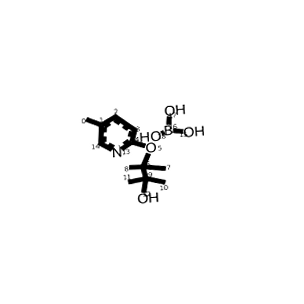 Cc1ccc(OC(C)(C)C(C)(C)O)nc1.OB(O)O